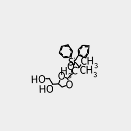 CC(C)(C)[Si](OCC1OCC(C(O)CO)O1)(c1ccccc1)c1ccccc1